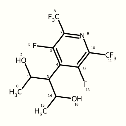 CC(O)C(c1c(F)c(C(F)(F)F)nc(C(F)(F)F)c1F)C(C)O